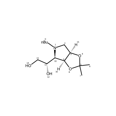 CCCCN1C[C@H]2OC(C)(C)O[C@H]2[C@H]1[C@H](O)CO